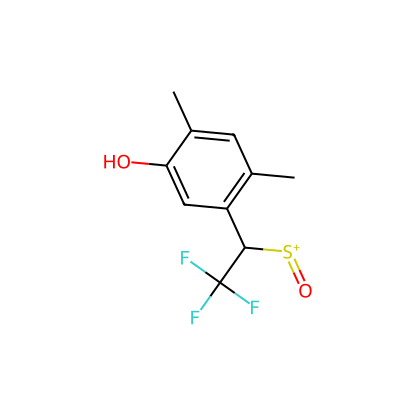 Cc1cc(C)c(C([S+]=O)C(F)(F)F)cc1O